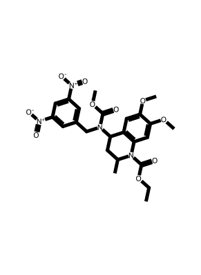 CCOC(=O)N1c2cc(OC)c(OC)cc2C(N(Cc2cc([N+](=O)[O-])cc([N+](=O)[O-])c2)C(=O)OC)CC1C